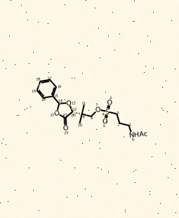 CC(=O)NCCCS(=O)(=O)OCC(C)(C)[C@H]1OC(c2ccccc2)OC1=O